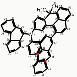 CC1(C)c2ccc(N(c3ccc(-c4ccccc4)cc3)c3cc4ccccc4c4ccccc34)cc2-c2c(-c3ccc4ccccc4c3)ccc3cccc1c23